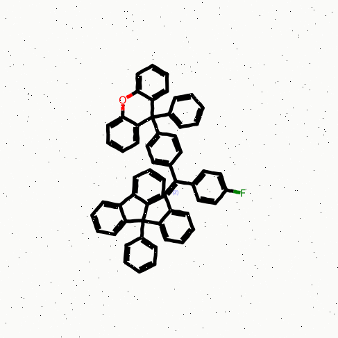 Fc1ccc(/C(=C\c2ccccc2C2(c3ccccc3)c3ccccc3-c3ccccc32)c2ccc(C3(c4ccccc4)c4ccccc4Oc4ccccc43)cc2)cc1